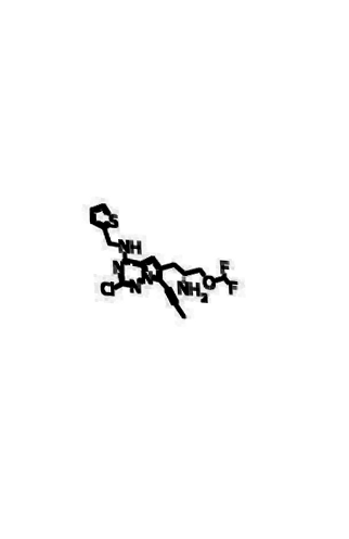 CC#Cc1c(C[C@@H](N)COC(F)F)cc2c(NCc3cccs3)nc(Cl)nn12